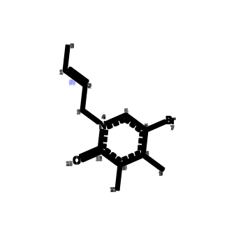 C/C=C/Cn1cc(Br)c(C)c(C)c1=O